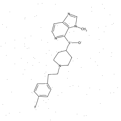 Cn1cnc2ccnc([S+]([O-])C3CCN(CCc4ccc(F)cc4)CC3)c21